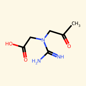 CC(=O)CN(CC(=O)O)C(=N)N